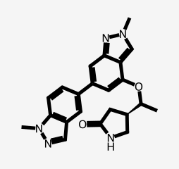 CC(Oc1cc(-c2ccc3c(cnn3C)c2)cc2nn(C)cc12)[C@H]1CNC(=O)C1